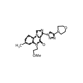 COCCn1c(=O)c2c(-n3cc(N4CCOCC4)nn3)ncn2c2ccc(C)cc21